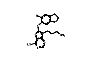 NCCCn1c(Sc2cc3c(cc2I)CCO3)nc2c(N)ncnc21